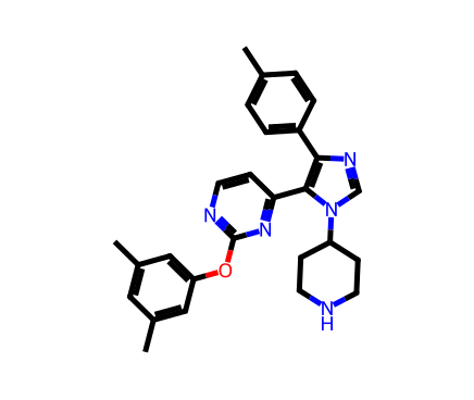 Cc1ccc(-c2ncn(C3CCNCC3)c2-c2ccnc(Oc3cc(C)cc(C)c3)n2)cc1